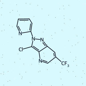 FC(F)(F)c1cnc2c(Cl)n(-c3ccccn3)nc2c1